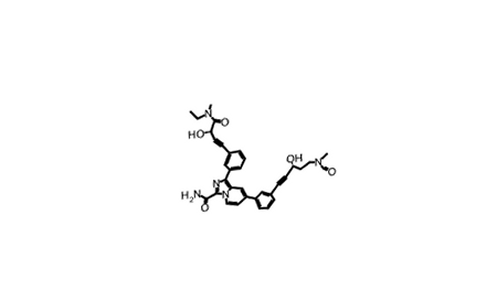 CCN(C)C(=O)[C@H](O)C#Cc1cccc(-c2nc(C(N)=O)n3ccc(-c4cccc(C#C[C@H](O)CCN(C)C=O)c4)cc23)c1